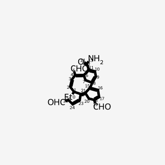 CCC1/C=C\C(C=O)=C2/CC(=CC=C2C(N)=O)C2=CC=C(C=O)C/C2=C1\C=C/CC=O